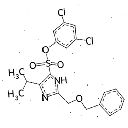 CC(C)c1nc(COCc2ccccc2)[nH]c1S(=O)(=O)Oc1cc(Cl)cc(Cl)c1